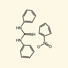 N=C(Nc1ccccc1)Nc1ccccc1.O=[N+]([O-])c1ccccc1